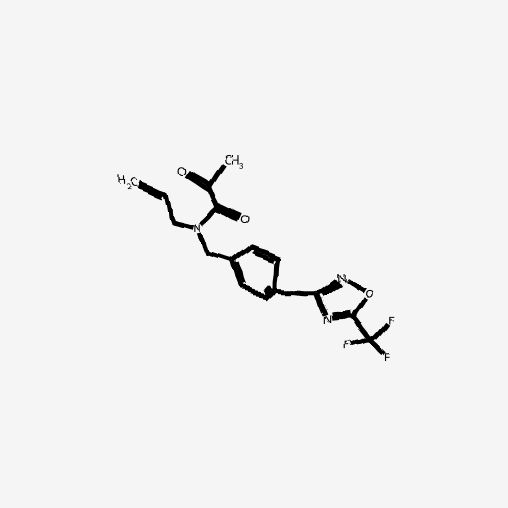 C=CCN(Cc1ccc(-c2noc(C(F)(F)F)n2)cc1)C(=O)C(C)=O